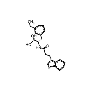 CCc1cccc(C[C@H](NC(=O)CCn2cnc3ccccc32)B(O)O)c1